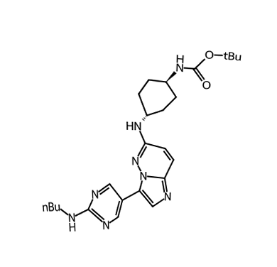 CCCCNc1ncc(-c2cnc3ccc(N[C@H]4CC[C@H](NC(=O)OC(C)(C)C)CC4)nn23)cn1